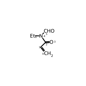 C=CC(=O)N(C=O)CC